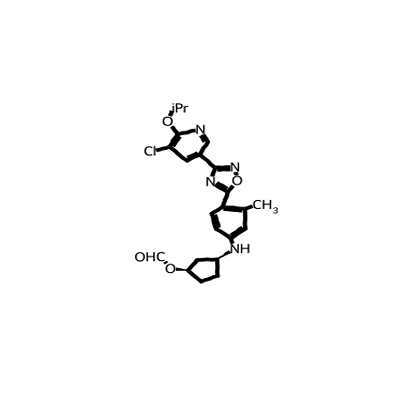 Cc1cc(N[C@H]2CC[C@@H](OC=O)C2)ccc1-c1nc(-c2cnc(OC(C)C)c(Cl)c2)no1